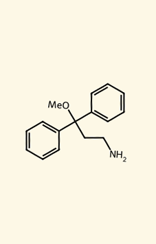 COC(CCN)(c1ccccc1)c1ccccc1